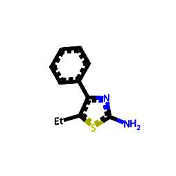 [CH2]Cc1sc(N)nc1-c1ccccc1